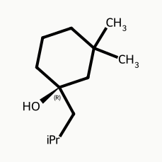 CC(C)C[C@]1(O)CCCC(C)(C)C1